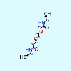 C#CCNC(=O)CCOCCOCC(=O)NCC#C